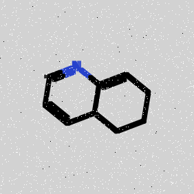 [C]1=NC2=CCCCC2C=C1